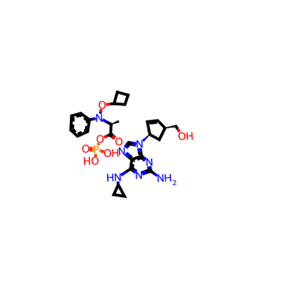 C[C@@H](C(=O)OP(=O)(O)O)N(OC1CCC1)c1ccccc1.Nc1nc(NC2CC2)c2ncn([C@H]3C=C[C@@H](CO)C3)c2n1